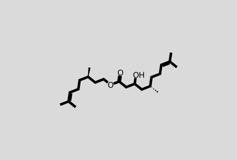 CC(C)=CCC[C@@H](C)CCOC(=O)CC(O)C[C@@H](C)CCC=C(C)C